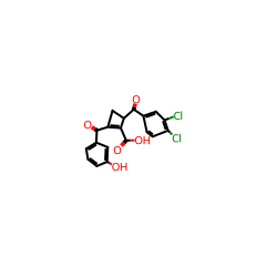 O=C(O)C1=C(C(=O)c2cccc(O)c2)CC1C(=O)c1ccc(Cl)c(Cl)c1